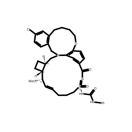 CO[C@H]1/C=C/CCC[S@@](=O)(NC(=O)NC(C)C)=NC(=O)c2ccc3c(c2)N(Cc2ccc(Cl)cc2CCCCO3)C[C@@H]2CC[C@H]21